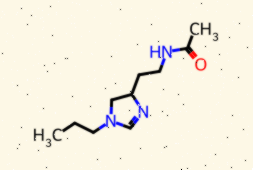 CCCN1C=NC(CCNC(C)=O)C1